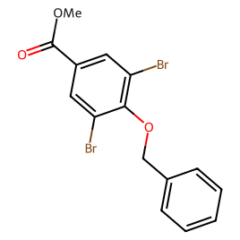 COC(=O)c1cc(Br)c(OCc2ccccc2)c(Br)c1